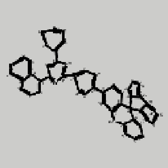 c1ccc(-c2cc(-c3cccc4ccccc34)nc(-c3ccc(-c4ccc5c(c4)Sc4ccccc4C54c5ccccc5-c5ccccc54)cc3)n2)cc1